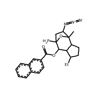 CCC1CCC2C1C(OC(=O)c1ccc3ccccc3c1)C1(P)CC(N=[N+]=[N-])C2(C)O1